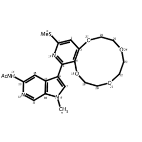 CSc1cc2c(c(-c3cn(C)c4cnc(NC(C)=O)cc34)n1)OCCOCCOCCO2